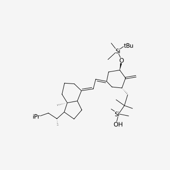 C=C1[C@H](CC(C)(C)[Si](C)(C)O)C/C(=C\C=C2/CCC[C@@]3(C)C2CCC3[C@H](C)CC(C)C)C[C@H]1O[Si](C)(C)C(C)(C)C